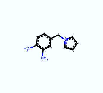 Nc1ccc(Cn2cccc2)cc1N